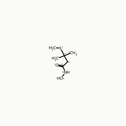 CSC(C)(C)CC(=O)NO